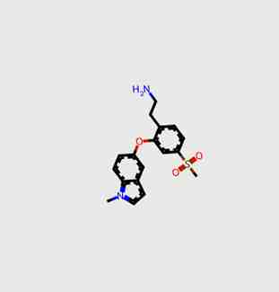 Cn1ccc2cc(Oc3cc(S(C)(=O)=O)ccc3CCN)ccc21